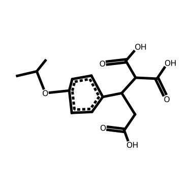 CC(C)Oc1ccc(C(CC(=O)O)C(C(=O)O)C(=O)O)cc1